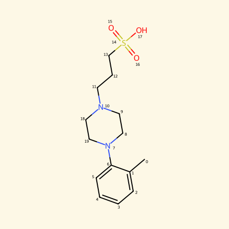 Cc1ccccc1N1CCN(CCCS(=O)(=O)O)CC1